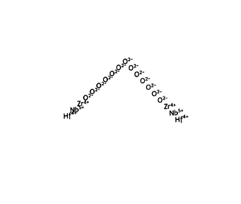 [Hf+4].[Hf+4].[Nb+5].[Nb+5].[O-2].[O-2].[O-2].[O-2].[O-2].[O-2].[O-2].[O-2].[O-2].[O-2].[O-2].[O-2].[O-2].[Zr+4].[Zr+4]